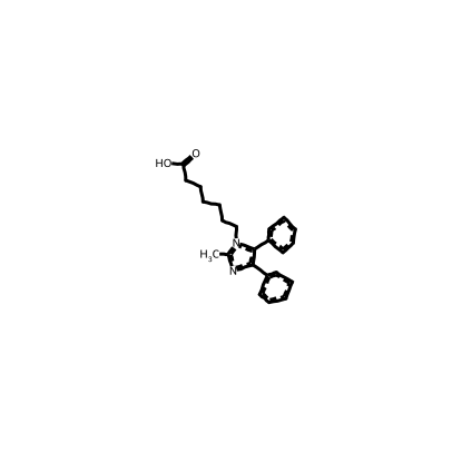 Cc1nc(-c2ccccc2)c(-c2ccccc2)n1CCCCCCC(=O)O